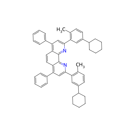 Cc1ccc(C2CCCCC2)cc1-c1cc(-c2ccccc2)c2ccc3c(-c4ccccc4)cc(-c4cc(C5CCCCC5)ccc4C)nc3c2n1